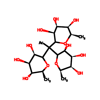 CC(=O)C(C1O[C@@H](C)[C@@H](O)[C@@H](O)[C@@H]1O)(C1O[C@@H](C)[C@@H](O)[C@@H](O)[C@@H]1O)C1O[C@@H](C)[C@@H](O)[C@@H](O)[C@@H]1O